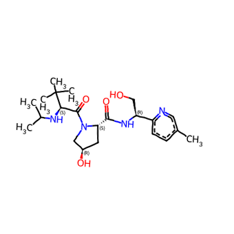 Cc1ccc([C@H](CO)NC(=O)[C@@H]2C[C@@H](O)CN2C(=O)[C@@H](NC(C)C)C(C)(C)C)nc1